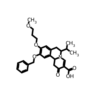 COCCCOc1cc2c(cc1OCc1ccccc1)C1CC(=O)C(C(=O)O)=CN1C(C(C)C)C2